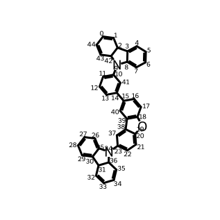 C1=CC2c3ccccc3N(c3cccc(-c4ccc5oc6ccc(N7c8ccccc8C8C=CC=CC87)cc6c5c4)c3)C2C=C1